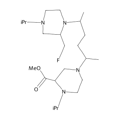 COC(=O)C1CN(C(C)CCC(C)N2CCN(C(C)C)CC2CF)CCN1C(C)C